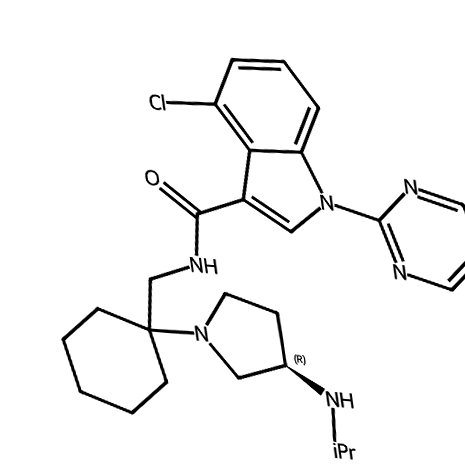 CC(C)N[C@@H]1CCN(C2(CNC(=O)c3cn(-c4ncccn4)c4cccc(Cl)c34)CCCCC2)C1